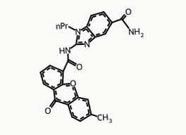 CCCn1c(NC(=O)c2cccc3c(=O)c4ccc(C)cc4oc23)nc2cc(C(N)=O)ccc21